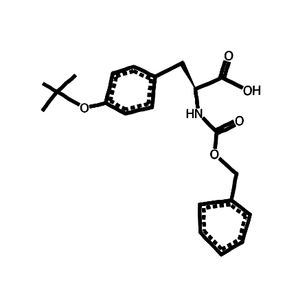 CC(C)(C)Oc1ccc(C[C@H](NC(=O)OCc2ccccc2)C(=O)O)cc1